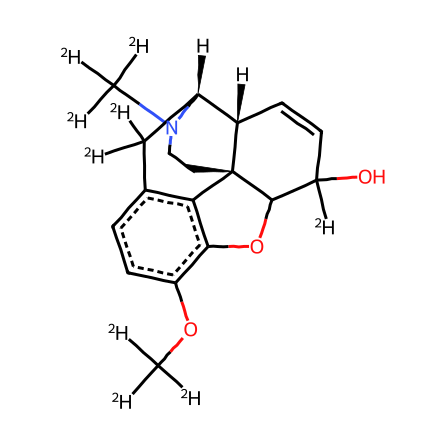 [2H]C([2H])([2H])Oc1ccc2c3c1OC1C([2H])(O)C=C[C@H]4[C@H](N(C([2H])([2H])[2H])CC[C@]314)C2([2H])[2H]